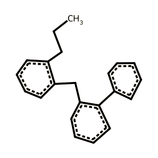 CCCc1ccccc1Cc1ccccc1-c1ccccc1